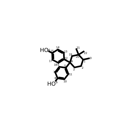 CC1CCC(c2ccc(O)cc2)(c2ccc(O)cc2)CC1(C)C